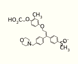 Cc1cc(OC/C=C(\c2ccc(CN3CCOCC3)cc2)c2ccc([S+](C)[O-])cc2)ccc1OCC(=O)O